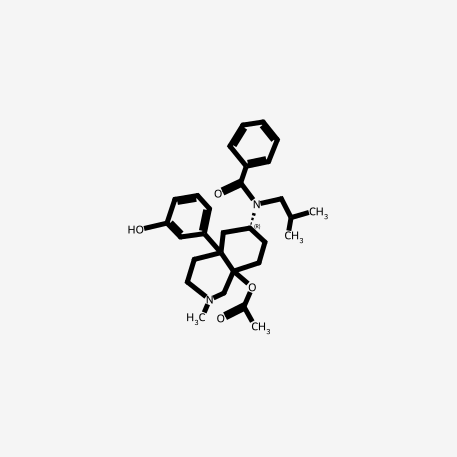 CC(=O)OC12CC[C@@H](N(CC(C)C)C(=O)c3ccccc3)CC1(c1cccc(O)c1)CCN(C)C2